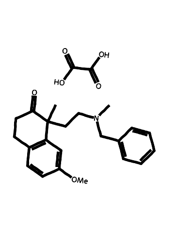 COc1ccc2c(c1)C(C)(CCN(C)Cc1ccccc1)C(=O)CC2.O=C(O)C(=O)O